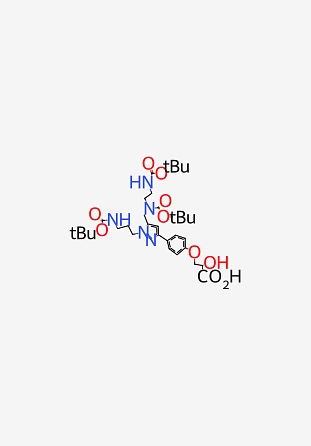 CC(C)(C)OC(=O)NCCCn1nc(-c2ccc(OCC(O)C(=O)O)cc2)cc1CN(CCNC(=O)OC(C)(C)C)C(=O)OC(C)(C)C